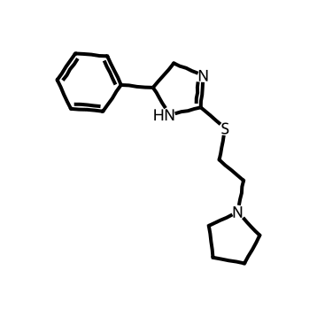 c1ccc(C2CN=C(SCCN3CCCC3)N2)cc1